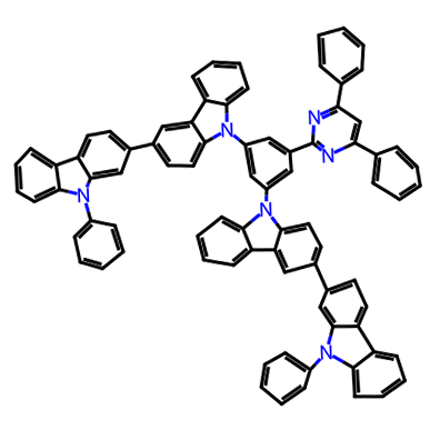 c1ccc(-c2cc(-c3ccccc3)nc(-c3cc(-n4c5ccccc5c5cc(-c6ccc7c8ccccc8n(-c8ccccc8)c7c6)ccc54)cc(-n4c5ccccc5c5cc(-c6ccc7c8ccccc8n(-c8ccccc8)c7c6)ccc54)c3)n2)cc1